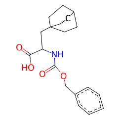 O=C(NC(CC12CCC(CC1)CC2)C(=O)O)OCc1ccccc1